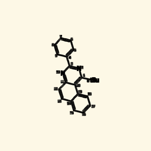 CC(C)(C)c1nc(-c2ccccc2)nc2ccc3ccccc3c12